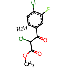 COC(=O)C(Cl)C(=O)c1ccc(Cl)c(F)c1.[NaH]